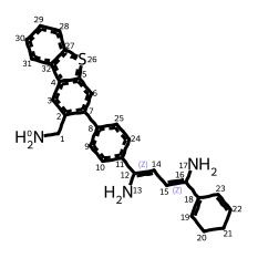 NCc1cc2c(cc1-c1ccc(/C(N)=C/C=C(\N)C3=CCCC=C3)cc1)sc1ccccc12